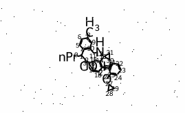 CCCC(CC(=O)O)c1ccc(C)cc1CNC1(c2cnccc2-c2ccccc2OC2CC2)CC1